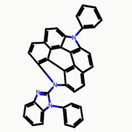 c1ccc(-n2c(-n3c4ccc5ccc6c7c5c4c4c5c(ccc(c57)n6-c5ccccc5)ccc43)nc3ccccc32)cc1